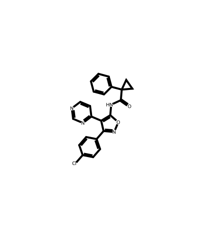 O=C(Nc1onc(-c2ccc(Cl)cc2)c1-c1ccncn1)C1(c2ccccc2)CC1